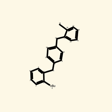 CCCCc1ccccc1Cc1ccc(Cc2ccccc2C)cc1